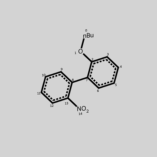 CCCCOc1ccccc1-c1ccccc1[N+](=O)[O-]